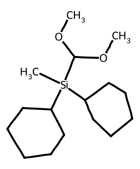 COC(OC)[Si](C)(C1CCCCC1)C1CCCCC1